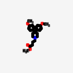 COC(=O)CCCN1C=CC(c2ccc(OC)cc2)(c2ccc(OC)cc2)C=C1